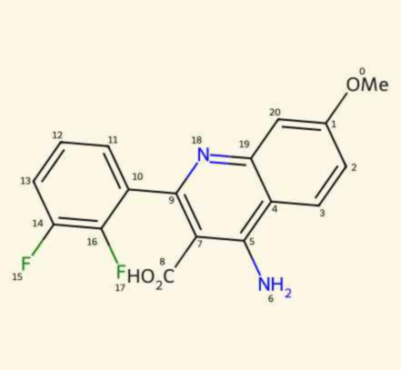 COc1ccc2c(N)c(C(=O)O)c(-c3cccc(F)c3F)nc2c1